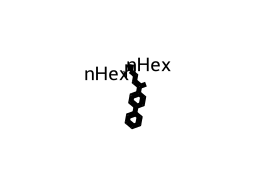 CCCCCCN(CC=C(C)c1ccc(-c2ccccc2)cc1)CCCCCC